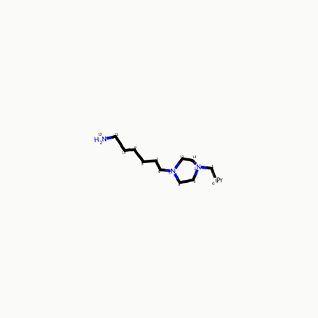 CC(C)CN1CCN(CCCCCCN)CC1